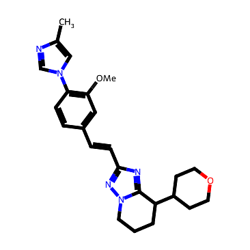 COc1cc(/C=C/c2nc3n(n2)CCCC3C2CCOCC2)ccc1-n1cnc(C)c1